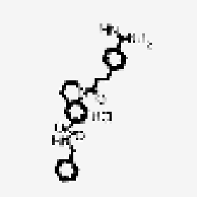 Cl.N=C(N)c1ccc(CCC(=O)N2CCCc3cc(S(=O)(=O)NCc4ccccc4)ccc32)cc1